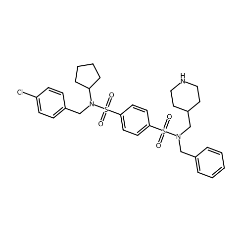 O=S(=O)(c1ccc(S(=O)(=O)N(Cc2ccc(Cl)cc2)C2CCCC2)cc1)N(Cc1ccccc1)CC1CCNCC1